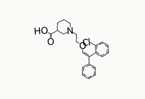 O=C(O)C1CCCN(CCOC=C(c2ccccc2)c2ccccc2Cl)C1